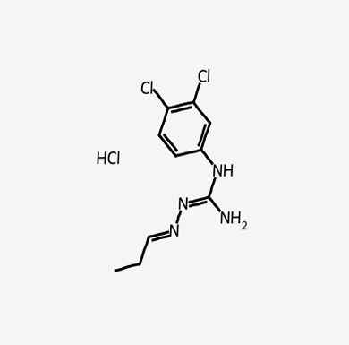 CCC=NN=C(N)Nc1ccc(Cl)c(Cl)c1.Cl